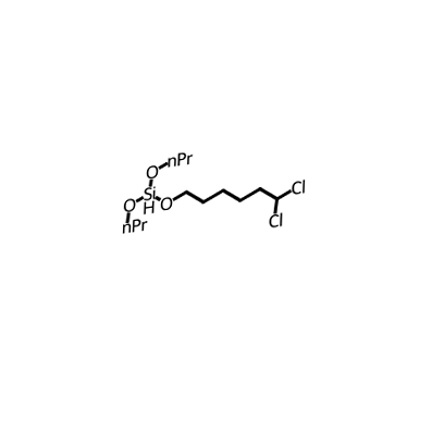 CCCO[SiH](OCCC)OCCCCCC(Cl)Cl